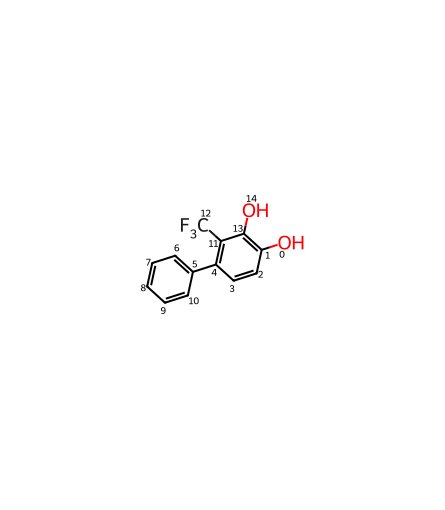 Oc1ccc(-c2ccccc2)c(C(F)(F)F)c1O